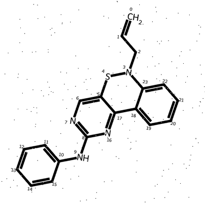 C=CCN1Sc2cnc(Nc3ccccc3)nc2-c2ccccc21